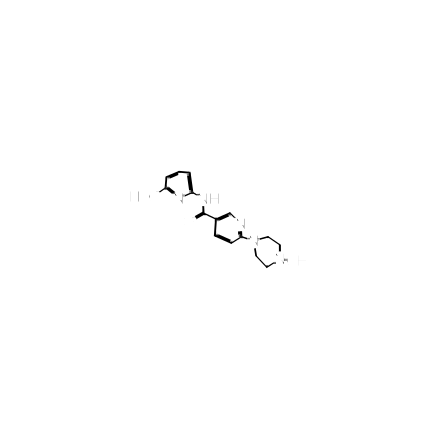 Cc1cccc(NC(=O)c2ccc(N3CCN(C)CC3)nc2)n1